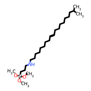 CO[Si](CCCNCCCCCCCCC=CCCCCCCCC(C)C)(OC)OC